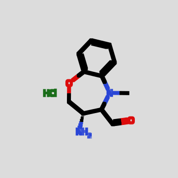 CN1c2ccccc2OC[C@@H](N)C1C=O.Cl